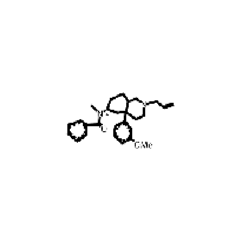 C=CCN1CCC2(c3cccc(OC)c3)C[C@H](N(C)C(=O)c3ccccc3)CCC2C1